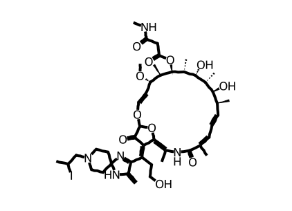 C=C1NC2(CCN(CC(C)I)CC2)N=C1/C(CCO)=C1C(=O)[C@@]2(C)O/C=C/[C@H](OC)[C@@H](C)[C@@H](OC(=O)CC(=O)NC)[C@H](C)[C@H](O)[C@H](C)[C@@H](O)[C@@H](C)/C=C/C=C(/C)C(=O)N/C(C)=C\1O2